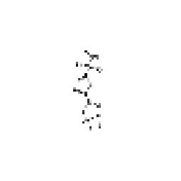 CNS(=O)(=O)c1ccc(B2OC(C)(C)C(C)(C)O2)s1